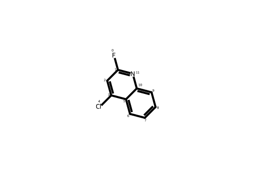 Fc1cc(Cl)c2ccccc2n1